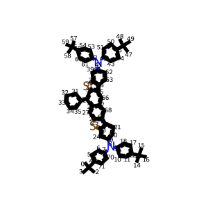 CC(C)(C)c1ccc(N(c2ccc(C(C)(C)C)cc2)c2ccc3c(c2)sc2cc4c(-c5ccccc5)c5sc6cc(N(c7ccc(C(C)(C)C)cc7)c7ccc(C(C)(C)C)cc7)ccc6c5cc4cc23)cc1